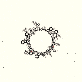 CCCC[C@H]1C(=O)N2C[C@H](O)C[C@@H]2C(=O)N[C@@H](CC(=O)O)C(=O)N[C@@H](C(C)C)C(=O)N(C)C(Cc2ccccc2)C(=O)N[C@@H](Cc2ccc(O)cc2)C(=O)N2C[C@H](O)C[C@H]2C(=O)N[C@@H](Cc2c[nH]c3ccccc23)C(=O)N[C@@H](Cc2ccc(O)cc2)C(=O)N[C@@H](CC(N)=O)C(=O)N[C@H](C(=O)NCC(N)=O)CSCC(=O)N[C@@H](Cc2cc(F)c(F)c(F)c2)C(=O)N(C)[C@@H](CCc2ccccc2)C(=O)N1C